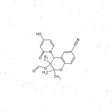 CC1(C)Oc2ccc(C#N)cc2C(n2ccc(O)cc2=O)C1(C)OC=O